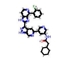 O=C(CC1CCCCC1)Nc1cncc(-c2cc3c(-c4nc5c(-c6ccccc6F)nccc5[nH]4)n[nH]c3cn2)c1